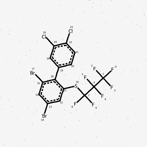 FC(F)(F)C(F)(F)C(F)(F)Sc1cc(Br)[c]c(Br)c1-c1ccc(Cl)c(Cl)c1